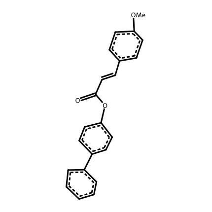 COc1ccc(C=CC(=O)Oc2ccc(-c3ccccc3)cc2)cc1